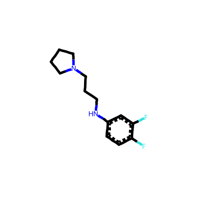 Fc1ccc(NCCCN2CCCC2)cc1F